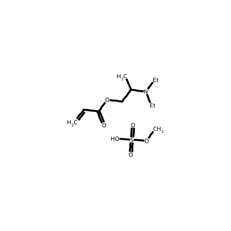 C=CC(=O)OCC(C)N(CC)CC.COS(=O)(=O)O